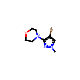 Cn1cc(Br)c(N2CCOCC2)n1